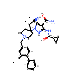 Cc1cc(CN2CCC(CC#N)(n3cc(C(N)=O)c(NC(=O)C4CC4)n3)CC2)ccc1-c1ccccc1